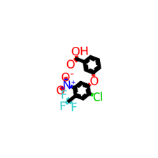 O=C(O)c1cccc(Oc2cc([N+](=O)[O-])c(C(F)(F)F)cc2Cl)c1